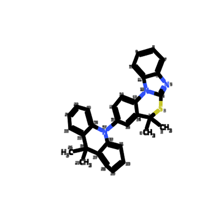 CC1(C)Sc2nc3ccccc3n2-c2ccc(N3c4ccccc4C(C)(C)c4ccccc43)cc21